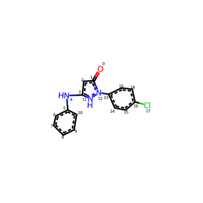 O=c1cc(Nc2ccccc2)[nH]n1-c1ccc(Cl)cc1